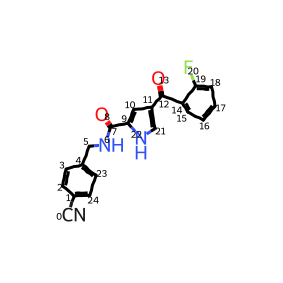 N#Cc1ccc(CNC(=O)c2cc(C(=O)c3ccccc3F)c[nH]2)cc1